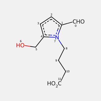 O=Cc1ccc(CO)n1CCCC(=O)O